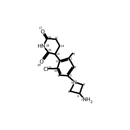 Cc1cc(N2CC(N)C2)cc(Cl)c1C1CCC(=O)NC1=O